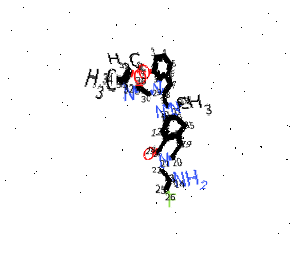 COc1cccc2cc(-c3nc4cc5c(cc4n3C)CCN(C[C@H](N)CF)C5=O)n(Cc3nc(C)co3)c12